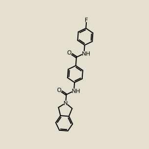 O=C(Nc1ccc(F)cc1)c1ccc(NC(=O)N2Cc3ccccc3C2)cc1